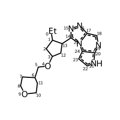 CCC1CC(OCC2CCOCC2)CC1c1nnc2cnc3[nH]ccc3n12